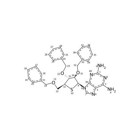 Nc1nc(N)c2ncn([C@H]3S[C@@H](COCc4ccccc4)[C@H](OCc4ccccc4)[C@H]3OCc3ccccc3)c2n1